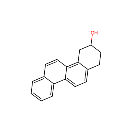 OC1CCc2ccc3c(ccc4ccccc43)c2C1